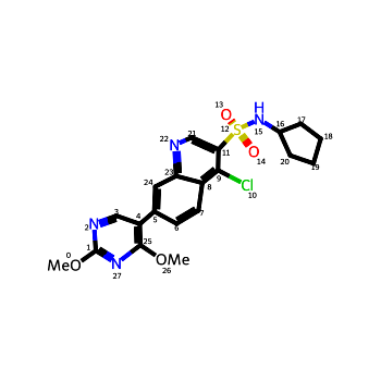 COc1ncc(-c2ccc3c(Cl)c(S(=O)(=O)NC4CCCC4)cnc3c2)c(OC)n1